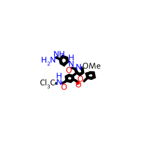 COc1ccc(-c2ccc(C(=O)NCC(Cl)(Cl)Cl)cc2C(=O)OCc2ccccc2)c(C(=O)Nc2ccc(C(=N)N)cc2)n1